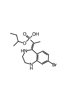 CCC(C)OP(=O)(O)C(C)=C1NCCNc2cc(Br)ccc21